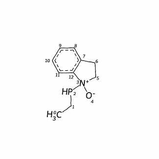 CCP[N+]1([O-])CCc2ccccc21